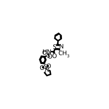 Cc1nc(C2C=CC=CC2)sc1C(=O)NS(=O)(=O)c1cccc(S(=O)(=O)N2CCCC2)c1